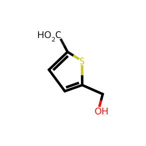 O=C(O)c1ccc(CO)s1